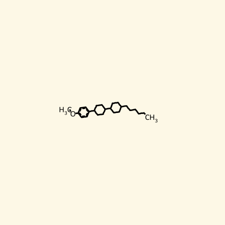 CCCCCCC1CCC(C2CCC(c3ccc(OC)cc3)CC2)CC1